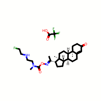 C/C(=N\OC(=O)N(C)CCNCCF)[C@H]1CC[C@H]2[C@@H]3CCC4=CC(=O)CC[C@]4(C)[C@H]3CC[C@]12C.O=C(O)C(F)(F)F